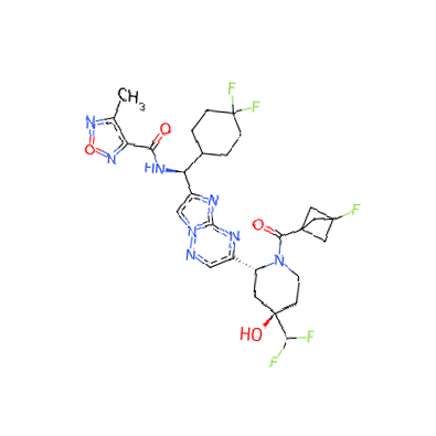 Cc1nonc1C(=O)N[C@H](c1cn2ncc([C@H]3C[C@@](O)(C(F)F)CCN3C(=O)C34CC(F)(C3)C4)nc2n1)C1CCC(F)(F)CC1